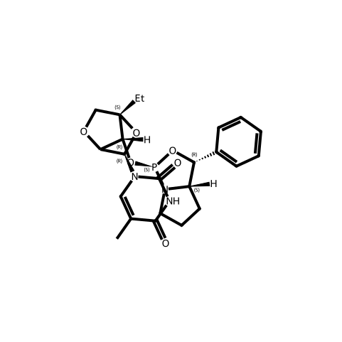 CC[C@@]12COC([C@H](n3cc(C)c(=O)[nH]c3=O)O1)[C@H]2O[P@@]1O[C@H](c2ccccc2)[C@@H]2CCCN21